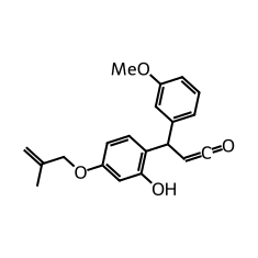 C=C(C)COc1ccc(C(C=C=O)c2cccc(OC)c2)c(O)c1